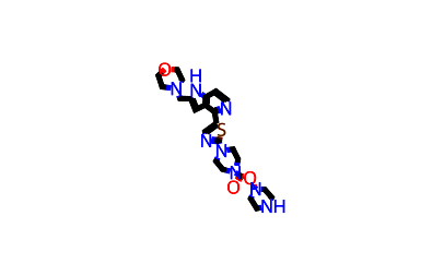 O=C(ON1CCNCC1)N1CCN(c2ncc(-c3nccc4[nH]c(CN5CCOCC5)cc34)s2)CC1